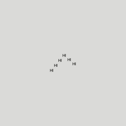 I.I.I.I.I.I